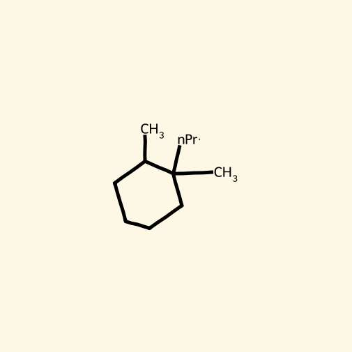 CC[CH]C1(C)CCCCC1C